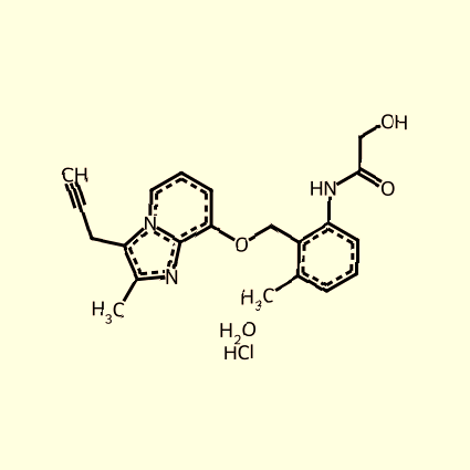 C#CCc1c(C)nc2c(OCc3c(C)cccc3NC(=O)CO)cccn12.Cl.O